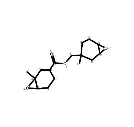 CC1(COC(=O)C2CCC3OC3(C)C2)CCC2OC2C1